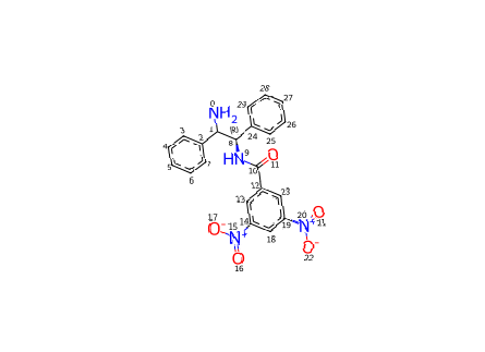 NC(c1ccccc1)[C@H](NC(=O)c1cc([N+](=O)[O-])cc([N+](=O)[O-])c1)c1ccccc1